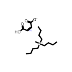 CCCC[N+](C)(CCCC)CCCC.O=C([O-])/C=C\C(=O)O